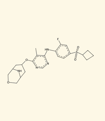 Cc1c(Nc2ccc(S(=O)(=O)C3CCC3)cc2F)ncnc1OC1CC2COCC(C1)N2